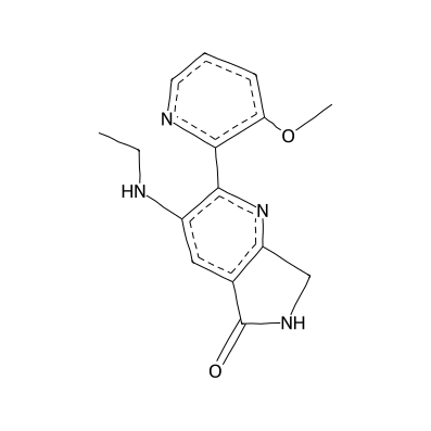 CCNc1cc2c(nc1-c1ncccc1OC)CNC2=O